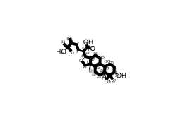 C=C(CC[C@@H](C(=O)O)[C@H]1CC[C@@]2(C)C3=C(CC[C@]12C)[C@@]1(C)CC[C@@H](O)C(C)(C)[C@@H]1CC3)C(C)(C)O